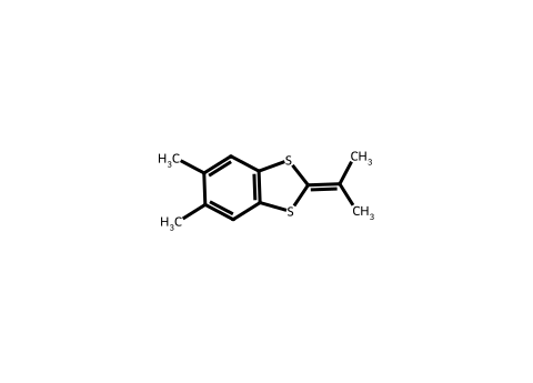 CC(C)=C1Sc2cc(C)c(C)cc2S1